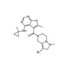 Cc1oc2ncnc(NC3(C)CC3)c2c1C(=O)N1CCN2C(=C(Br)CN2C)C1